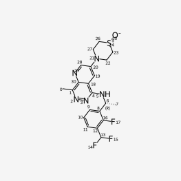 Cc1nnc(N[C@H](C)c2cccc(C(F)F)c2F)c2cc(N3CC[S+]([O-])CC3)cnc12